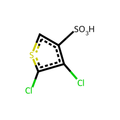 O=S(=O)(O)c1csc(Cl)c1Cl